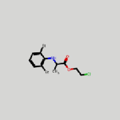 CCc1cccc(CC)c1NC(C)C(=O)OCCCl